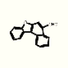 O=Cc1cc2oc3ccccc3c2c2ccccc12